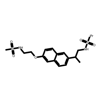 CC(CNS(=O)(=O)C(C)C)c1ccc2cc(OCCNS(C)(=O)=O)ccc2c1